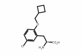 N[C@@H](Cc1cc(Cl)ccc1OCC1CCC1)C(=O)O